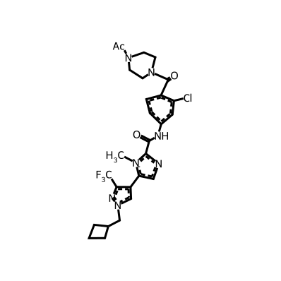 CC(=O)N1CCN(C(=O)c2ccc(NC(=O)c3ncc(-c4cn(CC5CCC5)nc4C(F)(F)F)n3C)cc2Cl)CC1